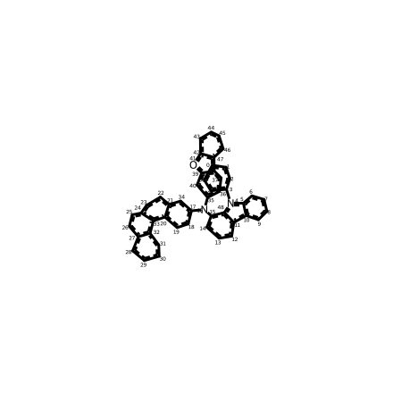 c1ccc(-n2c3ccccc3c3cccc(N(c4ccc5c(ccc6ccc7ccccc7c65)c4)c4ccc5c(c4)oc4ccccc45)c32)cc1